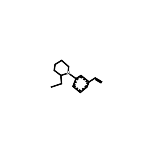 C=Cc1cccc(N2CCCCC2CC)c1